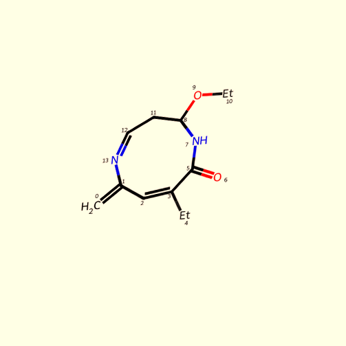 C=C1/C=C(/CC)C(=O)NC(OCC)C/C=N\1